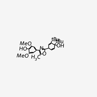 COc1cc(-c2nc(C3C=CC(O)(C(C)(C)C)C(C(C)(C)C)=C3)oc2C)cc(OC)c1O